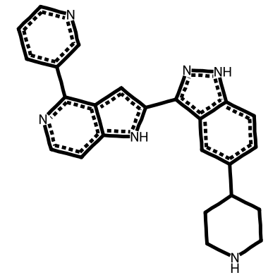 c1cncc(-c2nccc3[nH]c(-c4n[nH]c5ccc(C6CCNCC6)cc45)cc23)c1